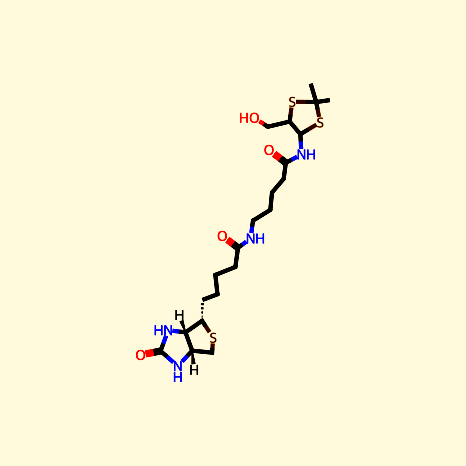 CC1(C)SC(CO)C(NC(=O)CCCCNC(=O)CCCC[C@@H]2SC[C@@H]3NC(=O)N[C@@H]32)S1